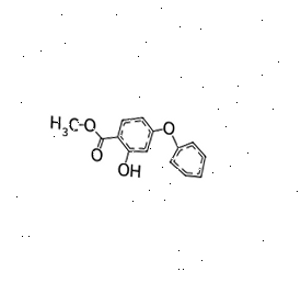 COC(=O)c1ccc(Oc2ccccc2)cc1O